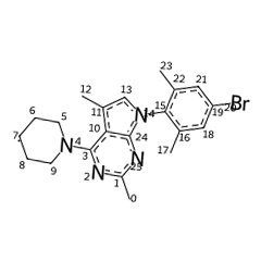 Cc1nc(N2CC[CH]CC2)c2c(C)cn(-c3c(C)cc(Br)cc3C)c2n1